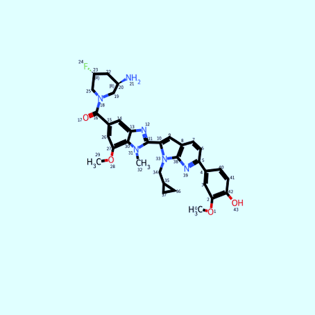 COc1cc(-c2ccc3cc(-c4nc5cc(C(=O)N6C[C@H](N)C[C@@H](F)C6)cc(OC)c5n4C)n(CC4CC4)c3n2)ccc1O